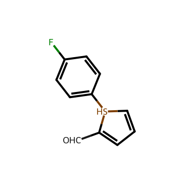 O=CC1=CC=C[SH]1c1ccc(F)cc1